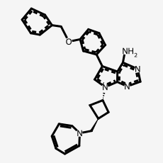 Nc1ncnc2c1c(-c1cccc(OCc3ccccc3)c1)cn2[C@H]1C[C@H](CN2C=CC=CC=C2)C1